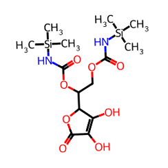 C[Si](C)(C)NC(=O)OCC(OC(=O)N[Si](C)(C)C)C1OC(=O)C(O)=C1O